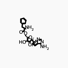 C[C@@]1(c2ccc3c(N)ncnn23)O[C@H](COC(=O)[C@@H](N)Cc2ccccc2)[C@@H](O)[C@H]1O